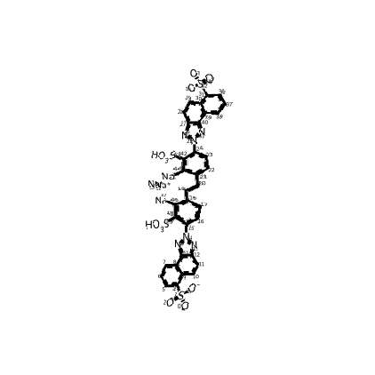 O=S(=O)([O-])c1cccc2c1ccc1nn(-c3ccc(C=Cc4ccc(-n5nc6ccc7c(S(=O)(=O)[O-])cccc7c6n5)c(S(=O)(=O)O)[c]4[Na])[c]([Na])c3S(=O)(=O)O)nc12.[Na+].[Na+]